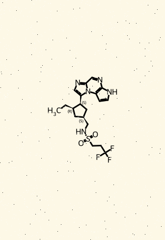 CC[C@@H]1C[C@H](CNS(=O)(=O)CCC(F)(F)F)C[C@@H]1c1cnc2cnc3[nH]ccc3n12